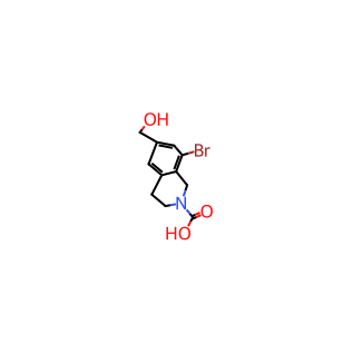 O=C(O)N1CCc2cc(CO)cc(Br)c2C1